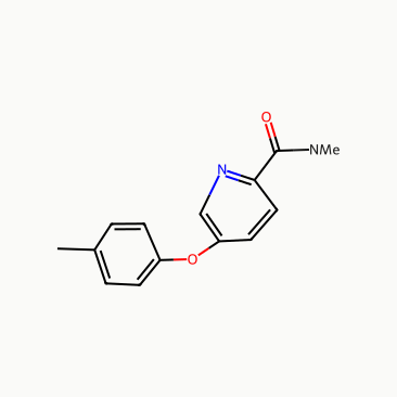 CNC(=O)c1ccc(Oc2ccc(C)cc2)cn1